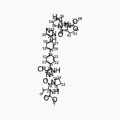 CC[C@H](NC(=O)OC)C(=O)N1[C@H](C)CC[C@H]1c1nc(Cl)c(-c2ccc(-c3ccc(-c4cnc([C@@H]5C[C@H]6C[C@H]6N5C(=O)[C@H](CC)NC(=O)OC)[nH]4)cc3)cc2)[nH]1